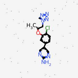 C[C@@H](Cn1cnnn1)Oc1cc(-c2cnc(N)nc2)ccc1Cl